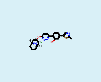 Cc1ncc(-c2ccc(-c3ccc(O[C@@H]4C[C@H]5CCC[C@H](N5)[C@@H]4F)nn3)c(O)c2)s1